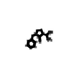 CC(O)[C@@H]1CCN(Cc2ccccc2)C1=O